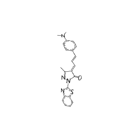 CC1=NN(c2nc3ccccc3s2)C(=O)/C1=C/C=C/c1ccc(N(C)C)cc1